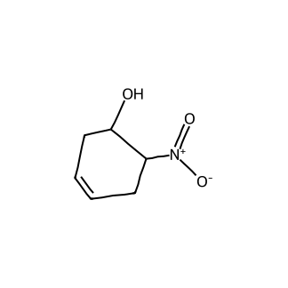 O=[N+]([O-])C1CC=CCC1O